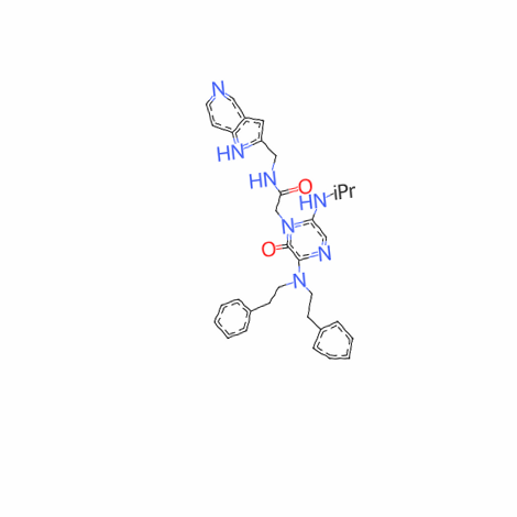 CC(C)Nc1cnc(N(CCc2ccccc2)CCc2ccccc2)c(=O)n1CC(=O)NCc1cc2cnccc2[nH]1